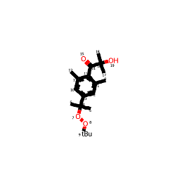 Cc1cc(C(C)(C)OOC(C)(C)C)cc(C)c1C(=O)C(C)(C)O